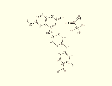 COc1ccc2oc(=O)cc(NC3CCN(Cc4ccc(OC)c(C)c4)CC3)c2c1.O=C(O)C(F)(F)F